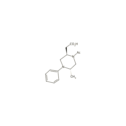 CC(=O)N1C[C@H](C)N(c2ccccc2)C[C@H]1CC(=O)O